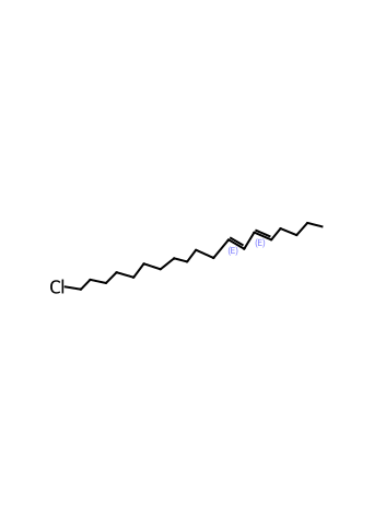 CCCC/C=C/C=C/CCCCCCCCCCCCl